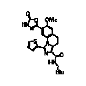 COc1cc2c(cc1-c1n[nH]c(=O)o1)-n1c(-c3cccs3)nc(C(=O)NCC(C)(C)C)c1CC2